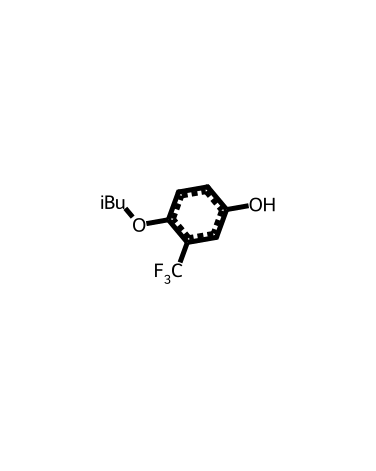 CCC(C)Oc1ccc(O)cc1C(F)(F)F